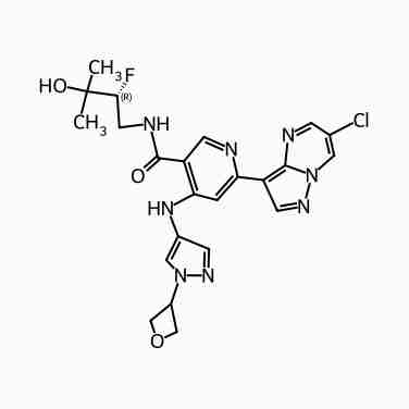 CC(C)(O)[C@H](F)CNC(=O)c1cnc(-c2cnn3cc(Cl)cnc23)cc1Nc1cnn(C2COC2)c1